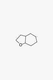 [CH]1CCC2OCCC2C1